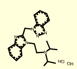 CC(C)N(CCn1c(Cn2nnc3ccccc32)nc2ccccc21)C(C)C.Cl.Cl